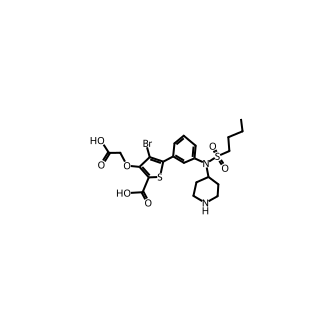 CCCCS(=O)(=O)N(c1cccc(-c2sc(C(=O)O)c(OCC(=O)O)c2Br)c1)C1CCNCC1